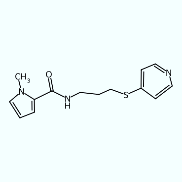 Cn1cccc1C(=O)NCCCSc1ccncc1